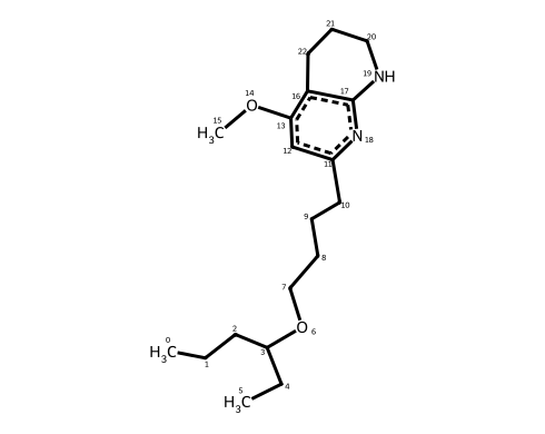 CCCC(CC)OCCCCc1cc(OC)c2c(n1)NCCC2